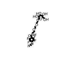 [N-]=[N+]=Nc1c(F)c(F)c(C(=O)NCCOCCOCCO[C@@H]2OC(CO)[C@H](O)C(O)C2O)c(F)c1F